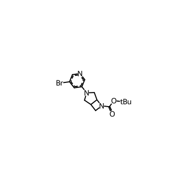 CC(C)(C)OC(=O)N1CC2CN(c3cncc(Br)c3)CC21